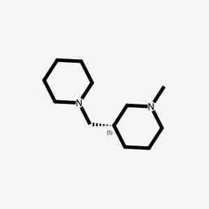 CN1CCC[C@H](CN2CCCCC2)C1